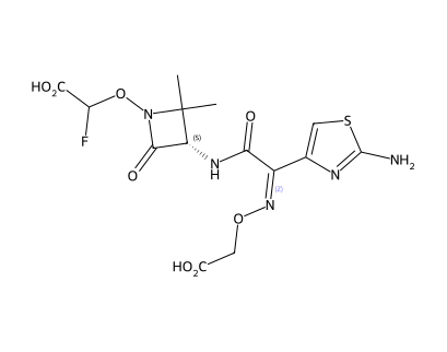 CC1(C)[C@H](NC(=O)/C(=N\OCC(=O)O)c2csc(N)n2)C(=O)N1OC(F)C(=O)O